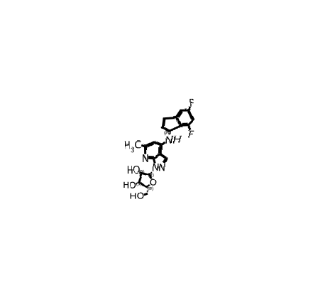 Cc1cc(N[C@@H]2CCc3cc(F)cc(F)c32)c2cnn([C@@H]3O[C@H](CO)[C@@H](O)[C@H]3O)c2n1